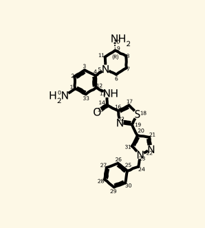 Nc1ccc(N2CCC[C@@H](N)C2)c(NC(=O)c2csc(-c3cnn(Cc4ccccc4)c3)n2)c1